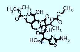 CCOC(=O)OC(C)C1(NC(=O)/C(=N\O)c2csc(N)n2)C(=O)N2C(C(=O)O)=C(COC(=O)N(C)C)CS[C@H]21